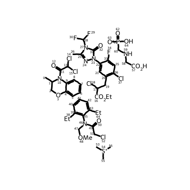 CC1COc2ccccc2N1C(=O)C(Cl)Cl.CCOC(=O)C(Cl)Cc1cc(-n2nc(C)n(C(F)F)c2=O)c(F)cc1Cl.CCc1cccc(CC)c1N(COC)C(=O)CCl.C[S+](C)C.O=C(O)CNCP(=O)([O-])O